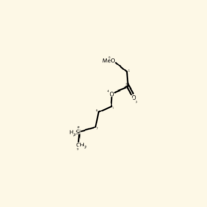 COCC(=O)OCCC[SiH2]C